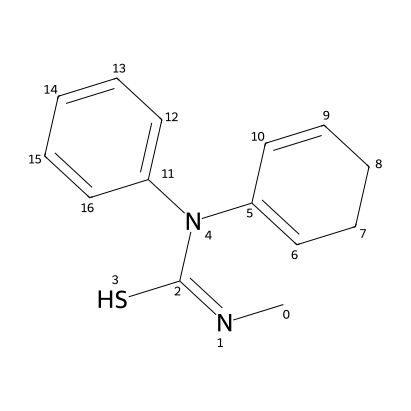 C/N=C(/S)N(C1=CCCC=C1)c1ccccc1